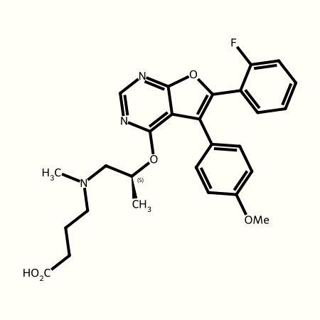 COc1ccc(-c2c(-c3ccccc3F)oc3ncnc(O[C@@H](C)CN(C)CCCC(=O)O)c23)cc1